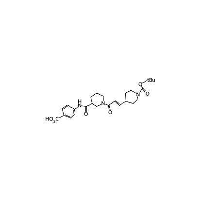 CC(C)(C)OC(=O)N1CCC(C=CC(=O)N2CCCC(C(=O)Nc3ccc(C(=O)O)cc3)C2)CC1